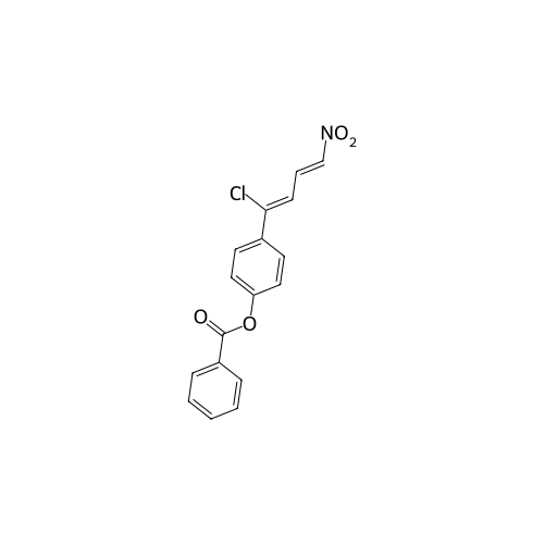 O=C(Oc1ccc(C(Cl)=CC=C[N+](=O)[O-])cc1)c1ccccc1